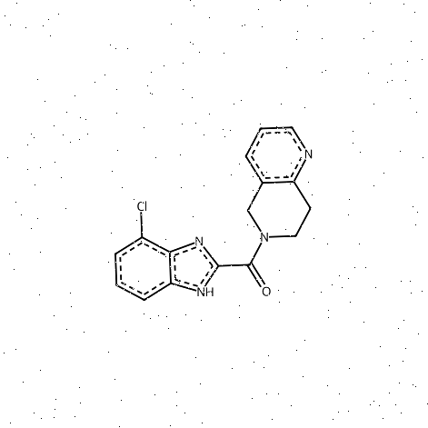 O=C(c1nc2c(Cl)cccc2[nH]1)N1CCc2ncccc2C1